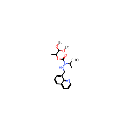 CCOC(OCC)C(C)OC(=O)N(NCc1cccc2cccnc12)C(C)C=O